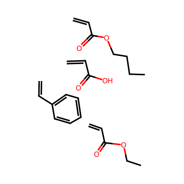 C=CC(=O)O.C=CC(=O)OCC.C=CC(=O)OCCCC.C=Cc1ccccc1